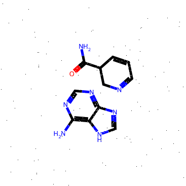 NC(=O)C1C=CC=NC1.Nc1ncnc2nc[nH]c12